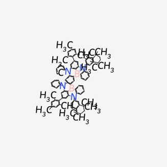 Cc1cc(C)c(-c2cc3c4c(c2)N(c2ccccc2)c2cc5c(cc2B4c2ccccc2N3c2ccc3c(c2)C(C)(C)CCC3(C)C)B2c3ccccc3N(c3ccc4c(c3)C(C)(C)CCC4(C)C)c3cc(-c4c(C)cc(C)cc4C)cc(c32)N5c2ccccc2)c(C)c1